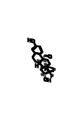 C[C@]12CC[C@]3(C=O)c4ccc(O)cc4CC[C@H]3[C@@H]1C[C@@H](O)C2(F)F